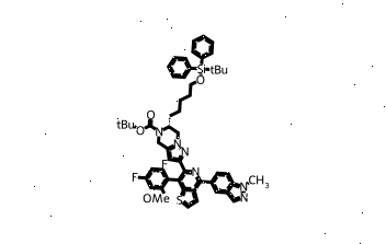 COc1cc(F)cc(F)c1-c1c(-c2cc3n(n2)C[C@@H](CCCCCO[Si](c2ccccc2)(c2ccccc2)C(C)(C)C)N(C(=O)OC(C)(C)C)C3)nc(-c2ccc3c(cnn3C)c2)c2ccsc12